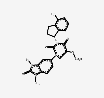 CCn1c(=O)n(C)c2ccc(-n3cc(OC(=O)O)c(=O)n([C@@H]4CCc5c4cccc5C(F)(F)F)c3=O)cc21